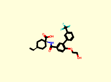 CC[C@H]1CC[C@](NC(=O)c2ccc(OCCO)c(-c3cccc(C(F)(F)F)c3)c2)(C(=O)O)CC1